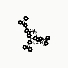 CC1(C)c2cc(-c3ccc4c(c3)c3ccccc3n4-c3ccccc3)ccc2-c2ccc(N(c3ccc(-n4c5ccccc5c5ccccc54)cc3)c3ccc4c(c3)C(C)(C)c3cc(-n5c6ccccc6c6ccccc65)ccc3-4)cc21